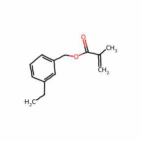 [CH2]Cc1cccc(COC(=O)C(=C)C)c1